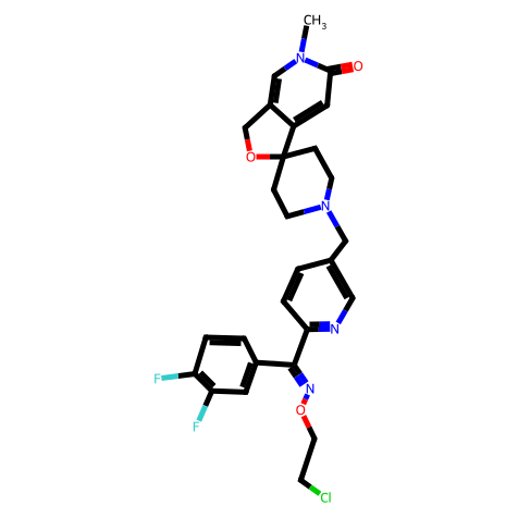 Cn1cc2c(cc1=O)C1(CCN(Cc3ccc(C(=NOCCCl)c4ccc(F)c(F)c4)nc3)CC1)OC2